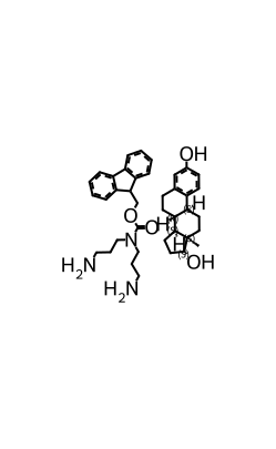 C[C@]12CC[C@@H]3c4ccc(O)cc4CC[C@H]3[C@@H]1CC[C@@H]2O.NCCCN(CCCN)C(=O)OCC1c2ccccc2-c2ccccc21